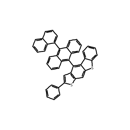 c1ccc(-c2cc3c(-c4c5ccccc5c(-c5cccc6ccccc56)c5ccccc45)c4c(cc3s2)sc2ccccc24)cc1